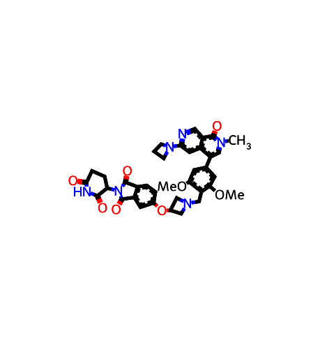 COc1cc(-c2cn(C)c(=O)c3cnc(N4CCC4)cc23)cc(OC)c1CN1CC(Oc2ccc3c(c2)C(=O)N(C2CCC(=O)NC2=O)C3=O)C1